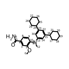 COc1cc(C(N)=O)ccc1N(C)c1cc(C2CCCCC2)cc(C2CCCCC2)c1